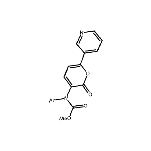 COC(=O)N(C(C)=O)c1ccc(-c2cccnc2)oc1=O